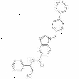 O=C(N[C@@H](CO)c1ccccc1)c1ccc2c(c1)ncn2Cc1ccc(-c2cccnc2)cc1